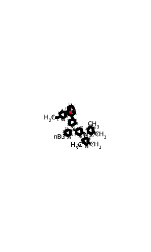 C=Cc1ccc(C23CC4CC(C2)CC(c2ccc(N(c5ccc(CCCC)cc5)c5ccc(N(c6cc(C)cc(C)c6)c6cc(C)cc(C)c6)cc5)cc2)(C4)C3)cc1